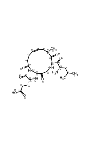 CC(C)C[C@H](N)C(=O)[C@@H]1NCC(=O)[C@H](N[C@@H](C=O)CCC(=O)O)NC(=O)CCC=CCN(C)C1=O